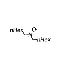 CCCCCCCN([O])CCCCCCC